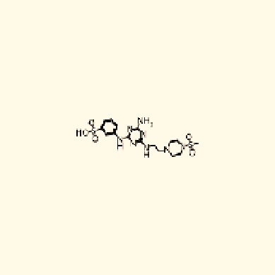 CS(=O)(=O)N1CCN(CCNc2nc(N)nc(Nc3cccc(S(=O)(=O)O)c3)n2)CC1